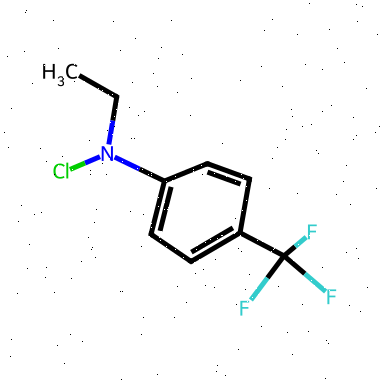 CCN(Cl)c1ccc(C(F)(F)F)cc1